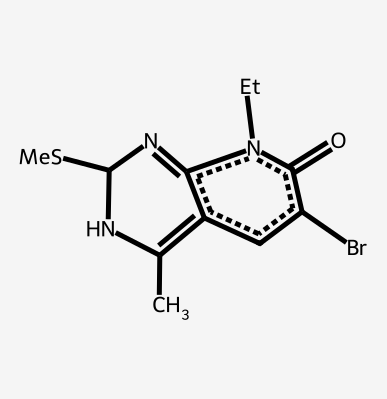 CCn1c(=O)c(Br)cc2c1=NC(SC)NC=2C